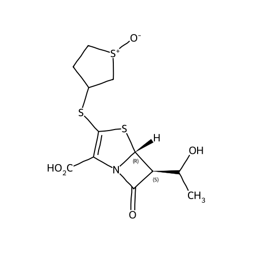 CC(O)[C@H]1C(=O)N2C(C(=O)O)=C(SC3CC[S+]([O-])C3)S[C@H]12